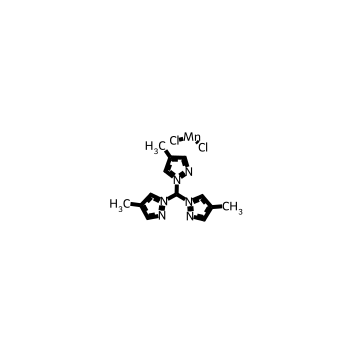 Cc1cnn(C(n2cc(C)cn2)n2cc(C)cn2)c1.[Cl][Mn][Cl]